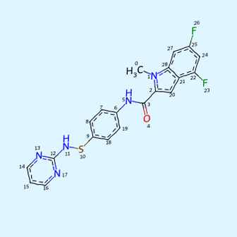 Cn1c(C(=O)Nc2ccc(SNc3ncccn3)cc2)cc2c(F)cc(F)cc21